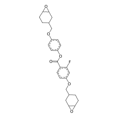 O=C(Oc1ccc(OCC2CCC3OC3C2)cc1)c1ccc(OCC2CCC3OC3C2)cc1F